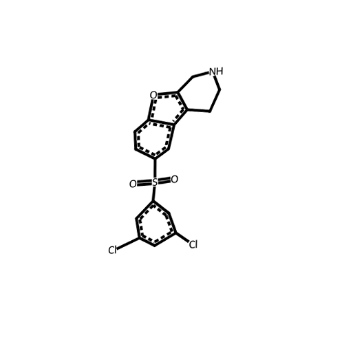 O=S(=O)(c1cc(Cl)cc(Cl)c1)c1ccc2oc3c(c2c1)CCNC3